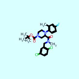 Cc1cc(F)ccc1N1CCN(C(=O)OC(C)(C)C)CC1C(=O)N(C)Cc1cc(Cl)ccc1Cl